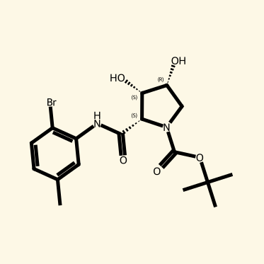 Cc1ccc(Br)c(NC(=O)[C@@H]2[C@H](O)[C@H](O)CN2C(=O)OC(C)(C)C)c1